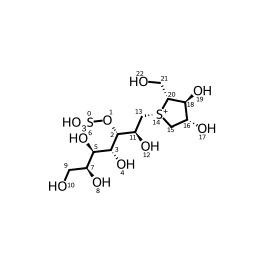 O=S(=O)(O)O[C@@H]([C@H](O)[C@H](O)[C@@H](O)CO)[C@H](O)C[S@@+]1C[C@@H](O)[C@H](O)[C@H]1CO